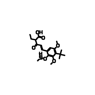 CCC(C(=O)O)C(=O)C=Cc1cc(OC)c(C(C)(C)C)c(OC)c1O[SiH](C)C